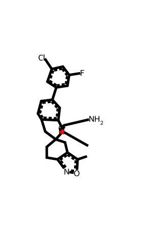 Cc1onc2c1CC1(CC2)Cc2ccc(-c3cc(F)cc(Cl)c3)cc2C12N=C(N)N(C)O2